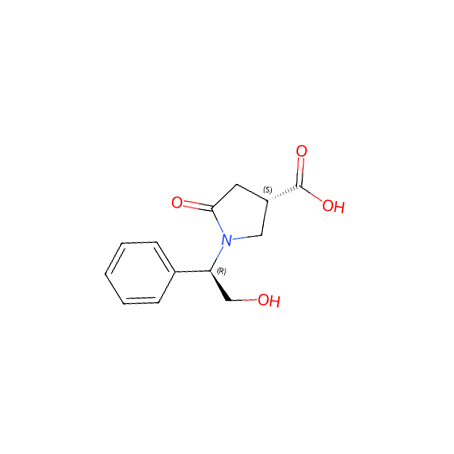 O=C(O)[C@H]1CC(=O)N([C@@H](CO)c2ccccc2)C1